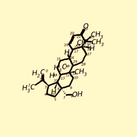 C=C(C)[C@@H]1CC[C@]2(CO)CC[C@]3(C)[C@H](CC[C@@H]4[C@@]5(C)C=CC(=O)C(C)(C)[C@@H]5CC[C@]43C)[C@@H]12